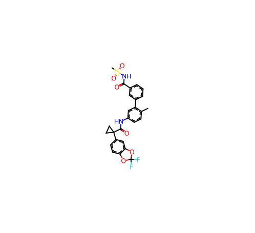 Cc1ccc(NC(=O)C2(c3ccc4c(c3)OC(F)(F)O4)CC2)cc1-c1cccc(C(=O)NS(C)(=O)=O)c1